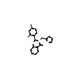 Cc1ccc(-c2nc3ccccc3c(=O)n2Cc2cccs2)c(Cl)c1